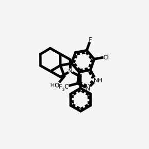 OCC1(c2cc(F)c(Cl)c3[nH]nc(C(F)(F)F)c23)C2CCCC1CN(Cc1ccccc1)C2